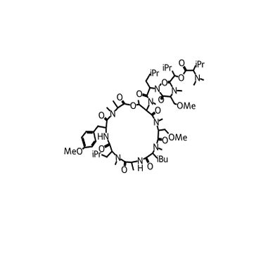 CCC(C)C1C(=O)NC(C)C(=O)N(C)C(CC(C)C)C(=O)NC(Cc2ccc(OC)cc2)C(=O)N(C)C(C)C(=O)OC(C)C(N(C)C(=O)C(CC(C)C)N(C)C(=O)C(COC)N(C)C(=O)C(OC(=O)C(C(C)C)N(C)C)C(C)C)C(=O)N(C)C(COC)C(=O)N1C